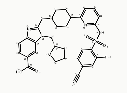 N#Cc1ccc(S(=O)(=O)Nc2cccc(C3CCN(Cc4nc5ccc(C(=O)O)cc5n4C[C@@H]4CCCO4)CC3)n2)c(F)c1